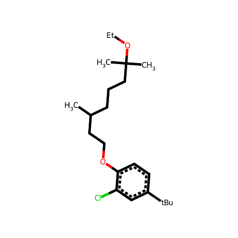 CCOC(C)(C)CCCC(C)CCOc1ccc(C(C)(C)C)cc1Cl